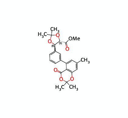 COC(=O)[C@H]1OC(C)(C)O[C@@H]1c1cccc(-c2cc(C)cc3c2C(=O)OC(C)(C)O3)c1